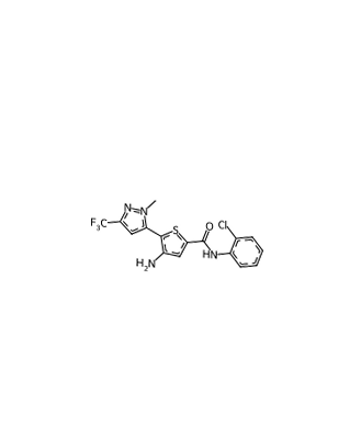 Cn1nc(C(F)(F)F)cc1-c1sc(C(=O)Nc2ccccc2Cl)cc1N